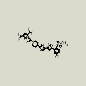 CS(=O)(=O)Oc1ccc(Cl)cc1C1CC(c2csc(C3CCN(C(=O)Cn4nc(C(F)F)cc4C(F)F)CC3)n2)=NO1